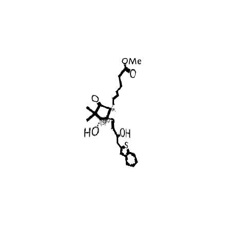 COC(=O)CCCC=CC[C@H]1C(=O)C(C)(C)[C@@H](O)[C@@H]1C=CC(O)Cc1cc2ccccc2s1